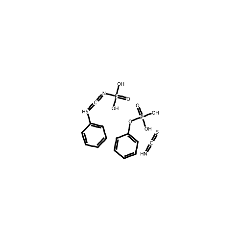 N=C=S.O=P(O)(O)N=C=[SH]c1ccccc1.O=P(O)(O)Oc1ccccc1